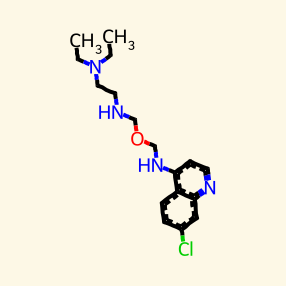 CCN(CC)CCNCOCNc1ccnc2cc(Cl)ccc12